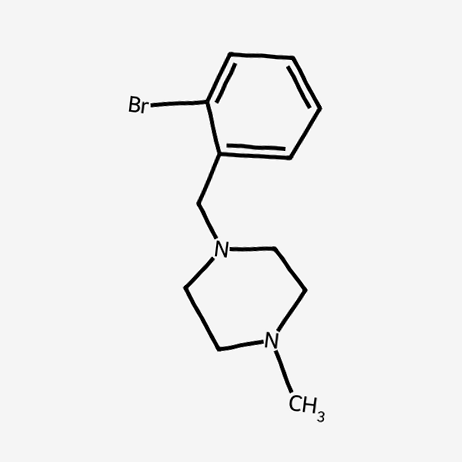 CN1CCN(Cc2ccccc2Br)CC1